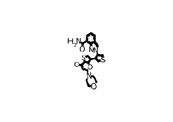 NC(=O)c1cccc2cn(-c3cscc3-c3csc4c(=O)cc(N5CCOCC5)oc34)nc12